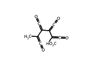 CC(=C=O)C(=C=O)C(=C=O)C(=C=O)C(=O)O